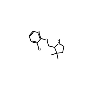 CC1(C)CCNC1COc1ncccc1Cl